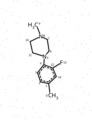 Cc1ccc(N2CCN(C)CC2)c(F)c1